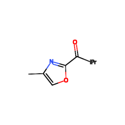 Cc1coc(C(=O)C(C)C)n1